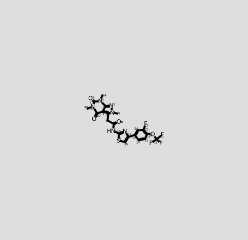 Cn1nc2c(c1CC(=O)Nc1nc(-c3ccc(OC(F)(F)F)c(F)c3)cs1)c(=O)n(C)c(=O)n2C